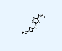 Nc1nnc(OC2CC(O)C2)s1